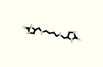 O=C1OCC(COCCCCOCC2COC(=O)O2)O1